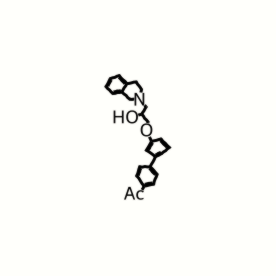 CC(=O)c1ccc(-c2cccc(OCC(O)CN3CCc4ccccc4C3)c2)cc1